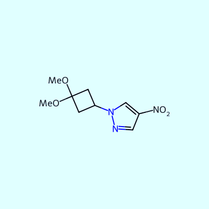 COC1(OC)CC(n2cc([N+](=O)[O-])cn2)C1